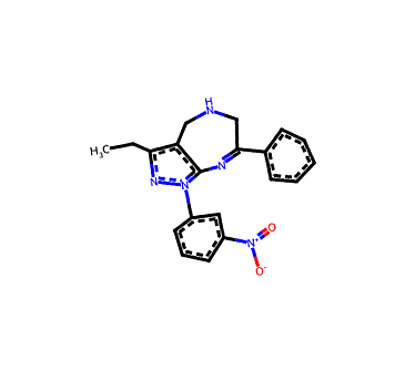 CCc1nn(-c2cccc([N+](=O)[O-])c2)c2c1CNCC(c1ccccc1)=N2